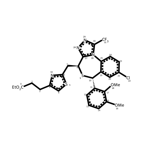 CCOC(=O)CCc1csc(C[C@@H]2S[C@@H](c3cccc(OC)c3OC)c3cc(Cl)ccc3-n3c2nnc3C(F)(F)F)n1